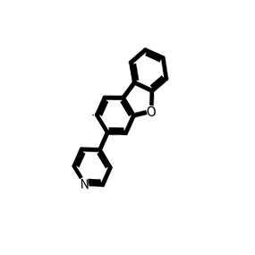 [c]1cc2c(cc1-c1ccncc1)oc1ccccc12